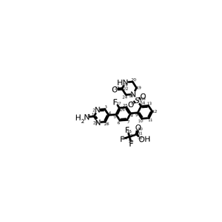 Nc1ncc(-c2ccc(-c3ccccc3S(=O)(=O)N3CCNC(=O)C3)cc2F)cn1.O=C(O)C(F)(F)F